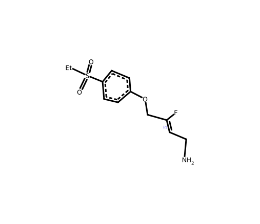 CCS(=O)(=O)c1ccc(OC/C(F)=C/CN)cc1